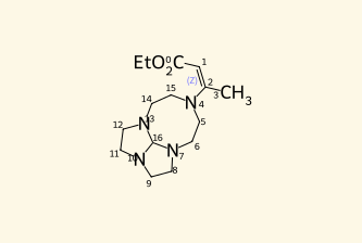 CCOC(=O)/C=C(/C)N1CCN2CCN3CCN(CC1)C23